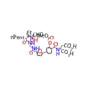 CCCCCC(C(=O)NCNC(=O)c1ccc(-c2ccc(C(=O)NC(CC(=O)O)C(=O)O)c(OCC(=O)OC)c2)o1)[C@@H](CC)N(O)C=O